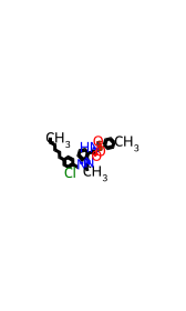 CCCCCCc1ccc(Cn2c(C)nc3c(C(=O)NS(=O)(=O)c4ccc(C)cc4)cccc32)c(Cl)c1